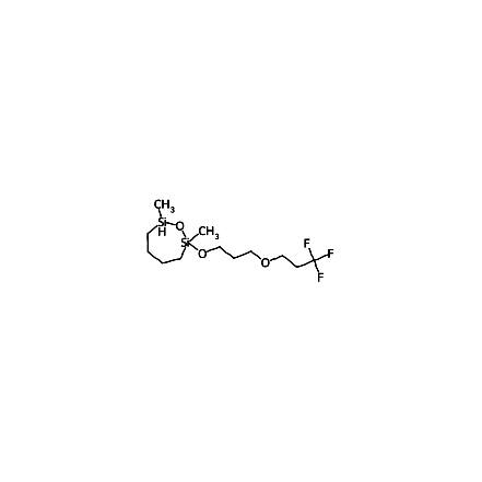 C[SiH]1CCCC[Si](C)(OCCCOCCC(F)(F)F)O1